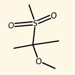 COC(C)(C)S(C)(=O)=O